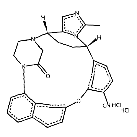 Cc1ncc2n1[C@H]1CC[C@@H]2N2CCN(C(=O)C2)c2cccc3ccc(cc23)Oc2cc1ccc2C#N.Cl.Cl